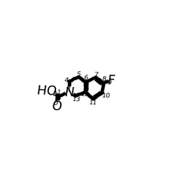 O=C(O)N1CCc2cc(F)ccc2C1